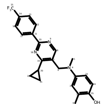 Cc1cc(N(C)Cc2cnc(-c3ccc(C(F)(F)F)cc3)nc2C2CC2)ccc1O